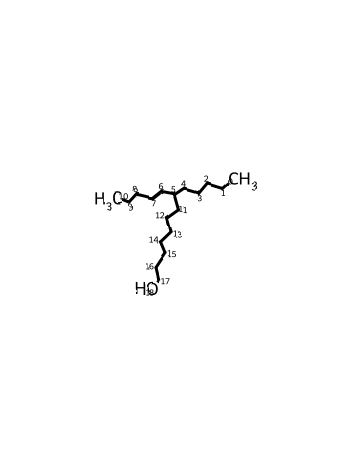 CCCCCC(CCCCC)CCCCCCCO